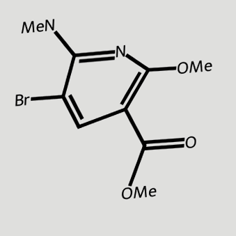 CNc1nc(OC)c(C(=O)OC)cc1Br